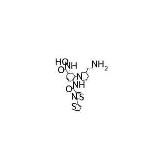 NCCC1CCCN(c2cc(C(=O)NO)ccc2NC(=O)c2csc(-c3cccs3)n2)C1